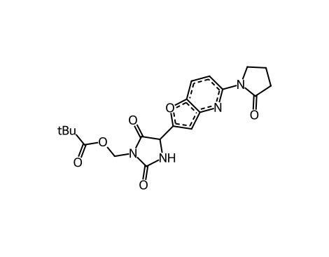 CC(C)(C)C(=O)OCN1C(=O)NC(c2cc3nc(N4CCCC4=O)ccc3o2)C1=O